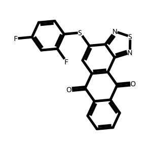 O=C1c2ccccc2C(=O)c2c1cc(Sc1ccc(F)cc1F)c1nsnc21